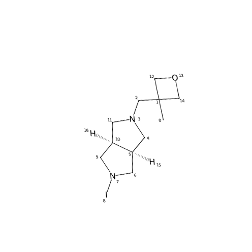 CC1(CN2C[C@H]3CN(I)C[C@H]3C2)COC1